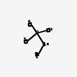 ClC(Cl)(Cl)SBr